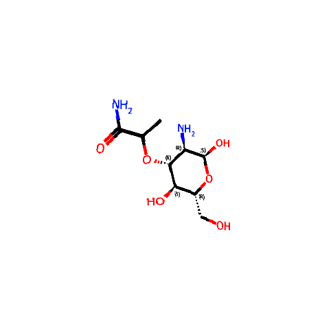 CC(O[C@@H]1[C@@H](N)[C@@H](O)O[C@H](CO)[C@H]1O)C(N)=O